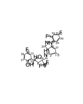 Cc1cc(NC[C@](O)(CC(C)(C)c2cc(F)ccc2O)C(F)(F)F)c2cnn(-c3ccc(F)cc3F)c2c1